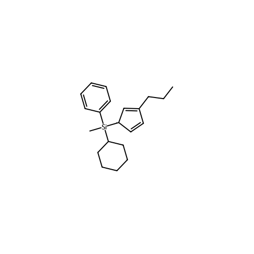 CCCC1=C[C]([Si](C)(c2ccccc2)C2CCCCC2)C=C1